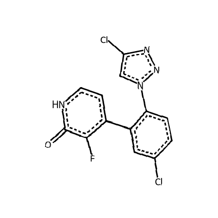 O=c1[nH]ccc(-c2cc(Cl)ccc2-n2cc(Cl)nn2)c1F